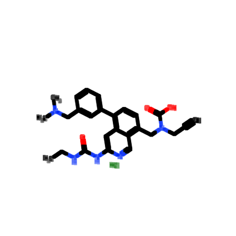 C#CCN(Cc1ccc(-c2cccc(CN(C)C)c2)c2cc(NC(=O)NCC)ncc12)C(=O)O.Cl